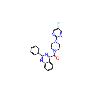 O=C(c1nc(-c2ccccc2)nc2ccccc12)N1CCN(c2ncc(F)cn2)CC1